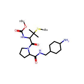 CCCCOC(=O)NC(C(=O)N1CCCC1C(=O)NCC1CCC(N)CC1)C(C)(C)SCCCC